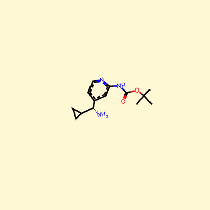 CC(C)(C)OC(=O)Nc1cc([C@H](N)C2CC2)ccn1